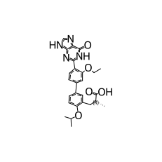 CCOc1cc(-c2ccc(OC(C)C)c(C[C@@H](C)C(=O)O)c2)ccc1-c1nc2[nH]cnc2c(=O)[nH]1